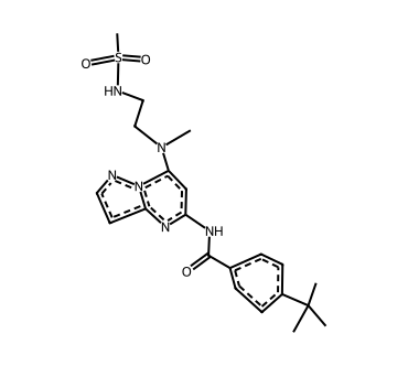 CN(CCNS(C)(=O)=O)c1cc(NC(=O)c2ccc(C(C)(C)C)cc2)nc2ccnn12